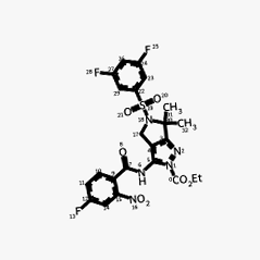 CCOC(=O)n1nc2c(c1NC(=O)c1ccc(F)cc1[N+](=O)[O-])CN(S(=O)(=O)c1cc(F)cc(F)c1)C2(C)C